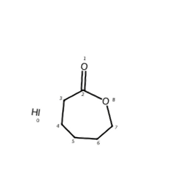 I.O=C1CCCCCO1